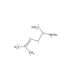 CC(=O)NC(CC=C(C)C)C(=O)O